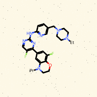 CCN1CCN(Cc2ccc(Nc3ncc(F)c(-c4cc(F)c5c(c4)N(C(C)C)CCO5)n3)nc2)CC1